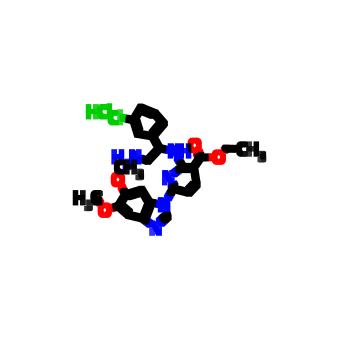 CCOC(=O)c1ccc(-n2cnc3cc(OC)c(OC)cc32)nc1NC(CN)c1cccc(Cl)c1.Cl